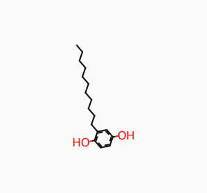 CCCCCCCCCCCc1cc(O)ccc1O